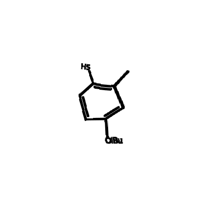 Cc1cc(OCC(C)C)ccc1S